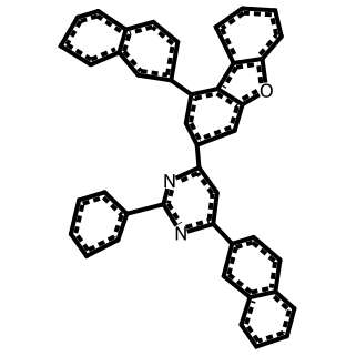 c1ccc(-c2nc(-c3ccc4ccccc4c3)cc(-c3cc(-c4ccc5ccccc5c4)c4c(c3)oc3ccccc34)n2)cc1